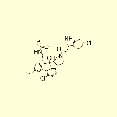 CCc1cccc(-c2c(Cl)cccc2[C@](O)(CCCNC(=O)OC)[C@@H]2CCCN(C(=O)CC(CN)c3ccc(Cl)cc3)C2)c1